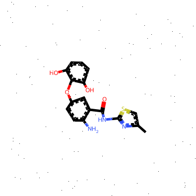 Cc1csc(NC(=O)c2cc(Oc3c(O)cccc3O)ccc2N)n1